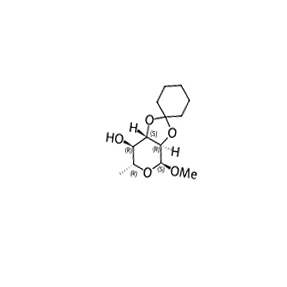 CO[C@H]1O[C@H](C)[C@@H](O)[C@@H]2OC3(CCCCC3)O[C@@H]12